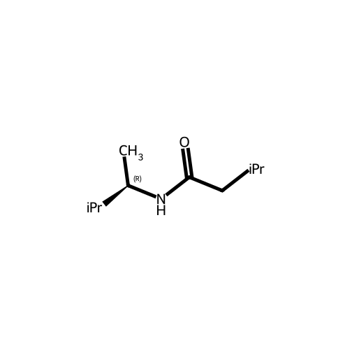 CC(C)CC(=O)N[C@H](C)C(C)C